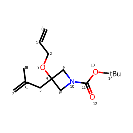 C=CCOC1(CC(=C)C)CN(C(=O)OC(C)(C)C)C1